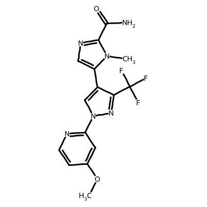 COc1ccnc(-n2cc(-c3cnc(C(N)=O)n3C)c(C(F)(F)F)n2)c1